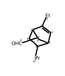 CCC1=CC2CC(C=O)C1CC2C(C)C